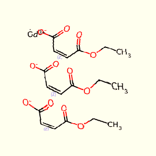 CCOC(=O)/C=C\C(=O)[O-].CCOC(=O)/C=C\C(=O)[O-].CCOC(=O)/C=C\C(=O)[O-].[Gd+3]